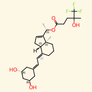 C[C@H](OC(=O)CCC(C)(O)C(F)(F)F)C1=CC[C@H]2/C(=C/C=C3C[C@@H](O)C[C@H](O)C3)CCC[C@]12C